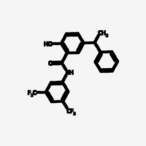 CC(c1ccccc1)c1ccc(O)c(C(=O)Nc2cc(C(F)(F)F)cc(C(F)(F)F)c2)c1